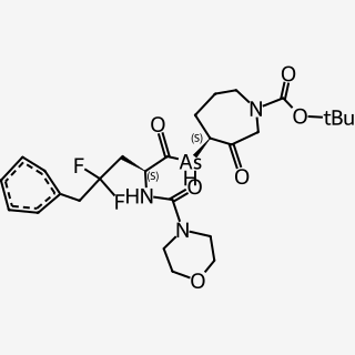 CC(C)(C)OC(=O)N1CCC[C@H]([AsH]C(=O)[C@H](CC(F)(F)Cc2ccccc2)NC(=O)N2CCOCC2)C(=O)C1